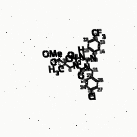 COC(=O)C(C)(C)Cn1c(=O)[nH]/c(=N\c2ccc(C(F)(F)F)cc2)n(Cc2ccc(Cl)cc2)c1=O